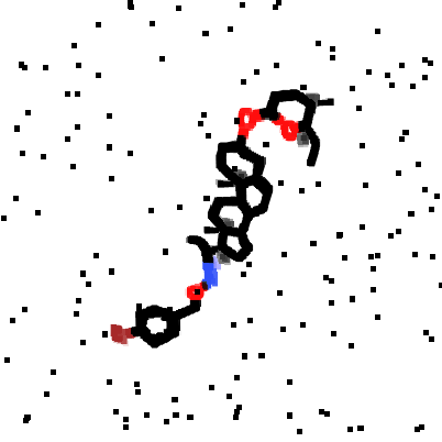 CC[C@H]1OC(OC2CC[C@@]3(C)C(=CCC4C3CC[C@@]3(C)C4CC[C@@H]3/C(C)=N/OCc3ccc(Br)cc3)C2)C=C[C@@H]1C